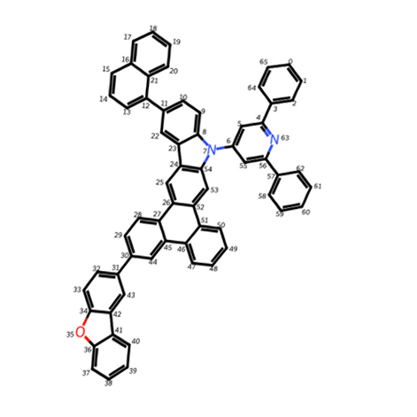 c1ccc(-c2cc(-n3c4ccc(-c5cccc6ccccc56)cc4c4cc5c6ccc(-c7ccc8oc9ccccc9c8c7)cc6c6ccccc6c5cc43)cc(-c3ccccc3)n2)cc1